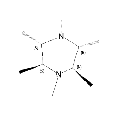 C[C@@H]1[C@@H](C)N(C)[C@@H](C)[C@H](C)N1C